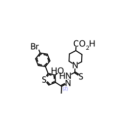 C/C(=N/NC(=S)N1CCC(C(=O)O)CC1)c1csc(-c2ccc(Br)cc2)c1O